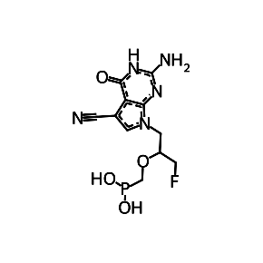 N#Cc1cn(CC(CF)OCP(O)O)c2nc(N)[nH]c(=O)c12